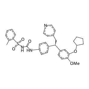 COc1ccc([C@H](Cc2ccncc2)c2ccc(NC(=O)NS(=O)(=O)c3ccccc3C)cc2)cc1OC1CCCC1